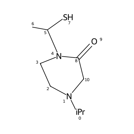 CC(C)N1CCN(C(C)S)C(=O)C1